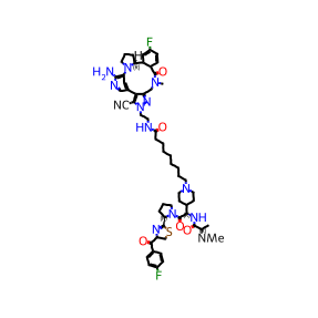 CN[C@H](C)C(=O)N[C@@H](C(=O)N1CCC[C@@H]1C1=NC(C(=O)c2ccc(F)cc2)CS1)C1CCN(CCCCCCCCC(=O)NCCn2nc3c(c2C#N)-c2cnc(N)c(c2)N2CCC[C@@H]2C2C=C(F)C=CC2C(=O)N(C)C3)CC1